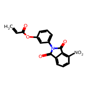 C=CC(=O)Oc1cccc(N2C(=O)c3cccc([N+](=O)[O-])c3C2=O)c1